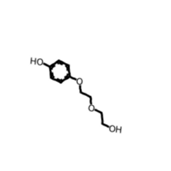 OCCOCCOc1ccc(O)cc1